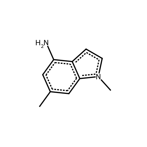 Cc1cc(N)c2ccn(C)c2c1